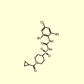 CC(C)c1cc(Cl)cc(C(C)C)c1NC(=O)NS(=O)(=O)C1CCN(C(=O)C2CC2)CC1